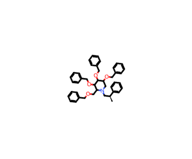 C[C@@H](CN1CC(OCc2ccccc2)C(OCc2ccccc2)C(OCc2ccccc2)C1COCc1ccccc1)c1ccccc1